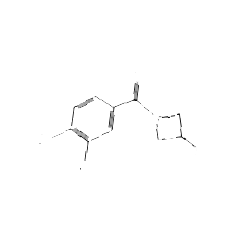 O=C(c1ccc(Br)c(F)c1)N1CC(F)C1